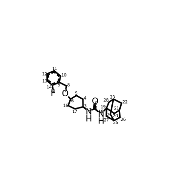 O=C(NC1CCC(OCc2ccccc2F)CC1)NC12CC3CC(CC(C3)C1)C2